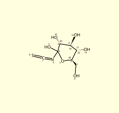 OC[C@H]1OC(O)(N=C=S)[C@H](O)[C@@H](O)[C@@H]1O